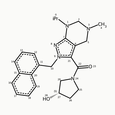 CC(C)N1CN(C)Cc2c1nn(Cc1cccc3ccccc13)c2C(=O)N1CC[C@H](O)C1